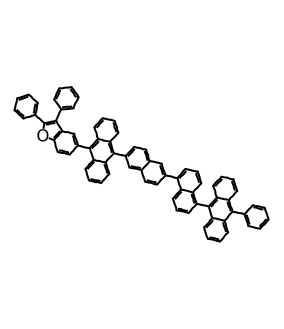 c1ccc(-c2oc3ccc(-c4c5ccccc5c(-c5ccc6cc(-c7cccc8c(-c9c%10ccccc%10c(-c%10ccccc%10)c%10ccccc9%10)cccc78)ccc6c5)c5ccccc45)cc3c2-c2ccccc2)cc1